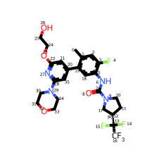 Cc1cc(F)c(NC(=O)N2CC[C@@H](C(F)(F)C(F)(F)F)C2)cc1-c1cc(OCCO)nc(N2CCOCC2)c1